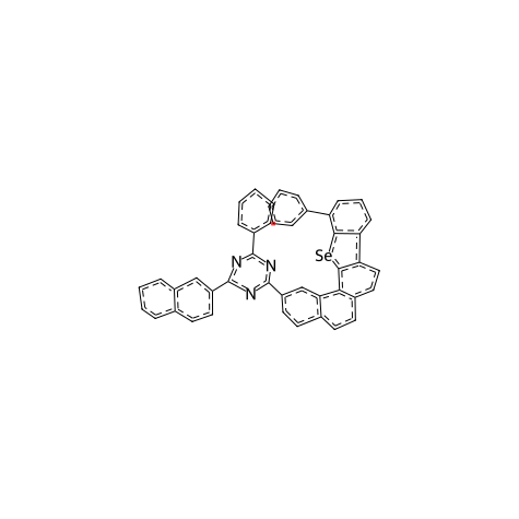 c1ccc(-c2nc(-c3ccc4ccccc4c3)nc(-c3ccc4ccc5ccc6c7cccc(-c8ccccc8)c7[se]c6c5c4c3)n2)cc1